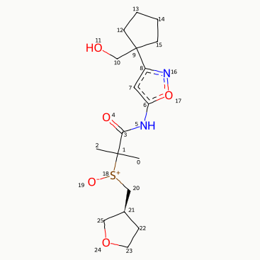 CC(C)(C(=O)Nc1cc(C2(CO)CCCC2)no1)[S+]([O-])C[C@H]1CCOC1